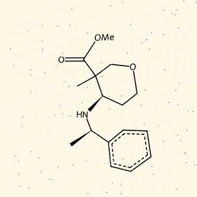 COC(=O)C1(C)COCC[C@H]1N[C@H](C)c1ccccc1